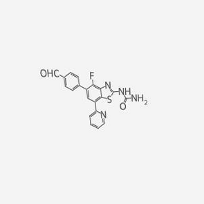 NC(=O)Nc1nc2c(F)c(-c3ccc(C=O)cc3)cc(-c3ccccn3)c2s1